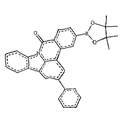 CC1(C)OB(c2ccc3c(=O)n4c5ccccc5c5cc(-c6ccccc6)cc(c3c2)c54)OC1(C)C